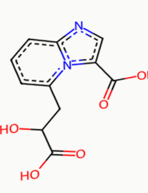 O=C(O)c1cnc2cccc(CC(O)C(=O)O)n12